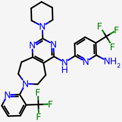 Nc1nc(Nc2nc(N3CCCCC3)nc3c2CCN(c2ncccc2C(F)(F)F)CC3)ccc1C(F)(F)F